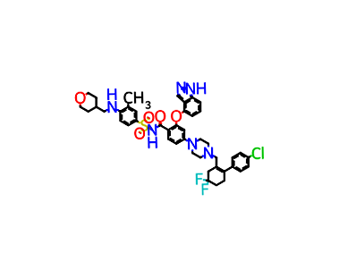 Cc1cc(S(=O)(=O)NC(=O)c2ccc(N3CCN(CC4=C(c5ccc(Cl)cc5)CCC(F)(F)C4)CC3)cc2Oc2cccc3[nH]ncc23)ccc1NCC1CCOCC1